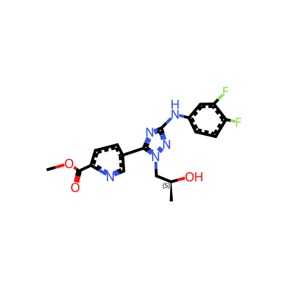 COC(=O)c1ccc(-c2nc(Nc3ccc(F)c(F)c3)nn2C[C@H](C)O)cn1